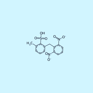 Cc1cccc(Cc2c([N+](=O)[O-])cccc2[N+](=O)[O-])c1S(=O)(=O)O